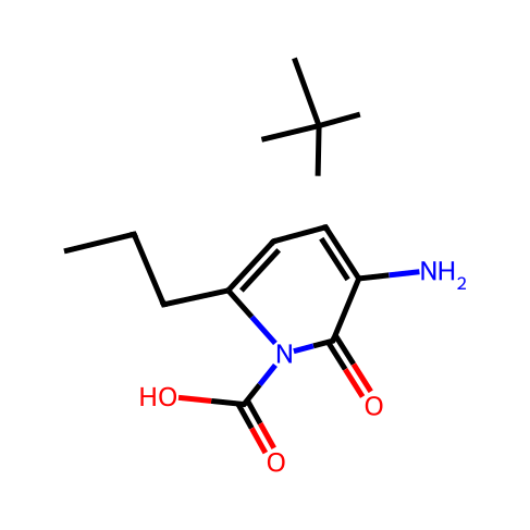 CC(C)(C)C.CCCc1ccc(N)c(=O)n1C(=O)O